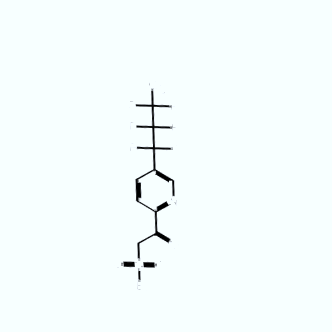 CCS(=O)(=O)CC(=O)c1ccc(C(F)(F)C(F)(F)C(F)(F)C(F)(F)F)cn1